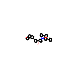 c1ccc(-c2ccc(N(c3ccc4oc5ccc(-c6ccc7ccc8ccccc8c7c6)cc5c4c3)c3ccccc3-c3ccccc3)cc2)cc1